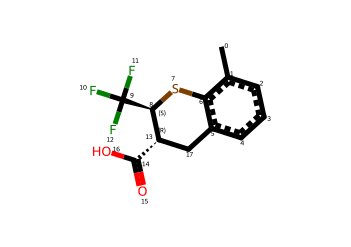 Cc1cccc2c1S[C@H](C(F)(F)F)[C@@H](C(=O)O)C2